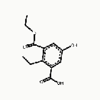 CCOC(=O)c1cc(O)cc(C(=O)O)c1CC